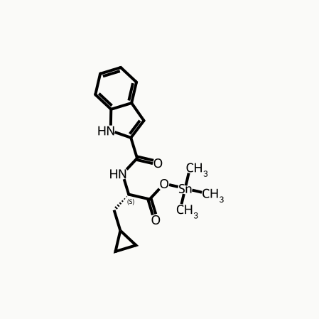 [CH3][Sn]([CH3])([CH3])[O]C(=O)[C@H](CC1CC1)NC(=O)c1cc2ccccc2[nH]1